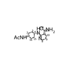 CC(=O)Nc1ccc(Nc2ncccc2C(N)=O)cc1